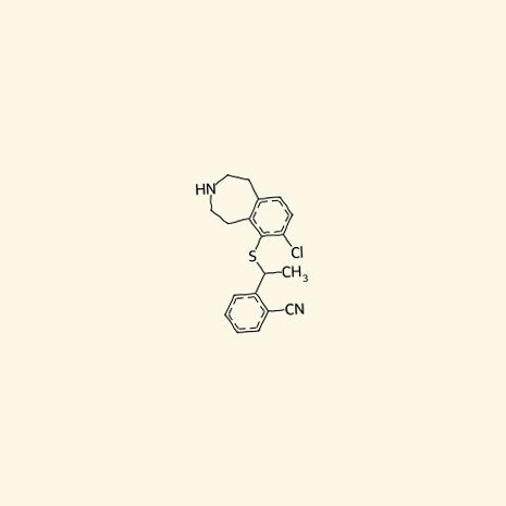 CC(Sc1c(Cl)ccc2c1CCNCC2)c1ccccc1C#N